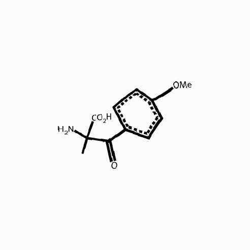 COc1ccc(C(=O)C(C)(N)C(=O)O)cc1